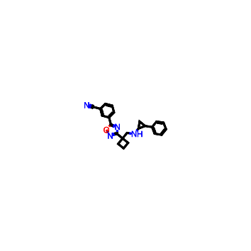 N#Cc1cccc(-c2nc(C3(CNC4CC4c4ccccc4)CCC3)no2)c1